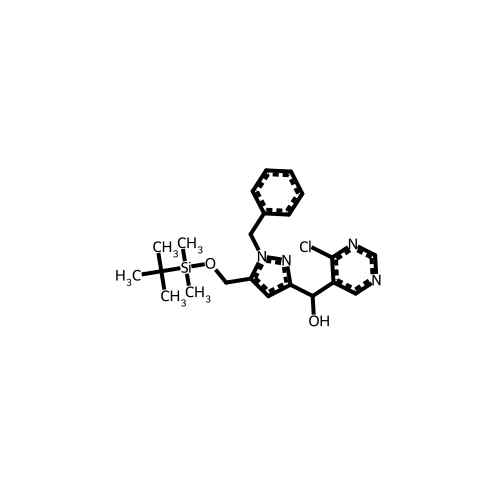 CC(C)(C)[Si](C)(C)OCc1cc(C(O)c2cncnc2Cl)nn1Cc1ccccc1